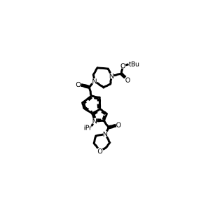 CC(C)n1c(C(=O)N2CCOCC2)cc2cc(C(=O)N3CCCN(C(=O)OC(C)(C)C)CC3)ccc21